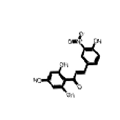 O=C(/C=C/c1ccc(O)c([N+](=O)[O-])c1)c1c(O)cc(O)cc1O